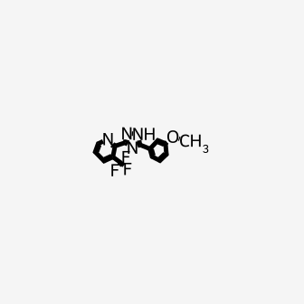 COc1cccc(-c2nc(-c3ncccc3C(F)(F)F)n[nH]2)c1